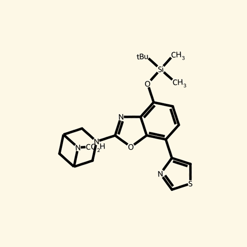 CC(C)(C)[Si](C)(C)Oc1ccc(-c2cscn2)c2oc(N3CC4CC(C3)N4C(=O)O)nc12